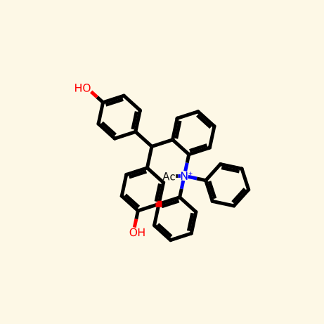 CC(=O)[N+](c1ccccc1)(c1ccccc1)c1ccccc1C(c1ccc(O)cc1)c1ccc(O)cc1